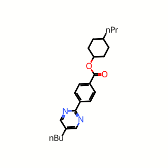 CCCCc1cnc(-c2ccc(C(=O)OC3CCC(CCC)CC3)cc2)nc1